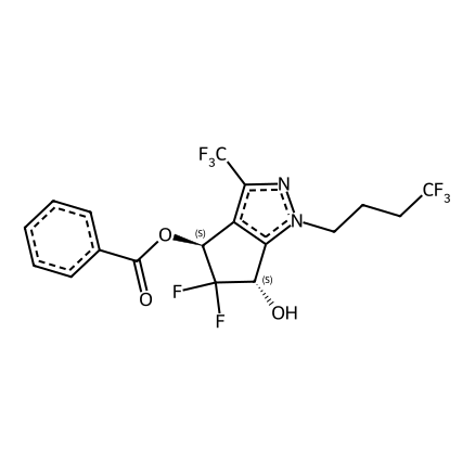 O=C(O[C@H]1c2c(C(F)(F)F)nn(CCCC(F)(F)F)c2[C@H](O)C1(F)F)c1ccccc1